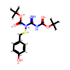 CC(C)(C)OC(=O)NC(=N)N(SCc1ccc(O)cc1)C(=O)OC(C)(C)C